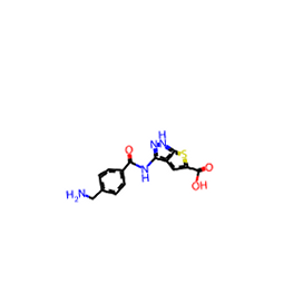 NCc1ccc(C(=O)Nc2n[nH]c3sc(C(=O)O)cc23)cc1